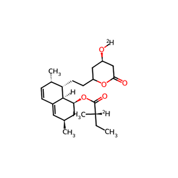 [2H]O[C@H]1CC(=O)OC(CC[C@@H]2[C@@H]3C(=C[C@H](C)C[C@@H]3OC(=O)[C@@]([2H])(C)CC)C=C[C@@H]2C)C1